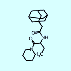 CCC(NC(=O)CC12CC3CC(CC(C3)C1)C2)C(=O)N1CCCCC1